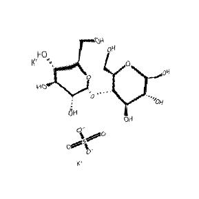 O=S(=O)([O-])[O-].OC[C@H]1O[C@H](O[C@H]2[C@H](O)[C@@H](O)[C@H](O)O[C@@H]2CO)[C@H](O)[C@@H](O)[C@@H]1O.[K+].[K+]